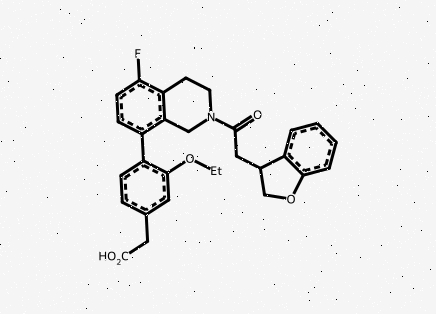 CCOc1cc(CC(=O)O)ccc1-c1ccc(F)c2c1CN(C(=O)CC1COc3ccccc31)CC2